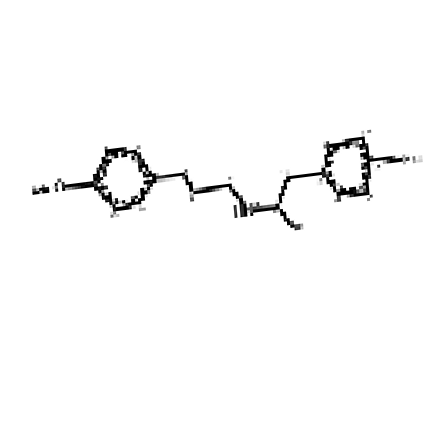 COc1ccc(CCCNC(C)Cc2ccc(F)cc2)cc1